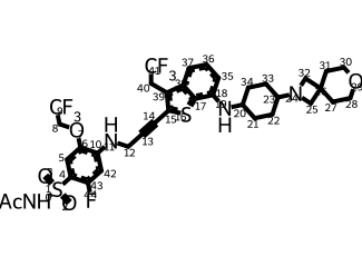 CC(=O)NS(=O)(=O)c1cc(OCC(F)(F)F)c(NCC#Cc2sc3c(NC4CCC(N5CC6(CCOCC6)C5)CC4)cccc3c2CC(F)(F)F)cc1F